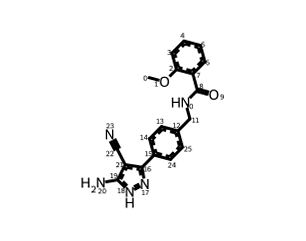 COc1ccccc1C(=O)NCc1ccc(-c2n[nH]c(N)c2C#N)cc1